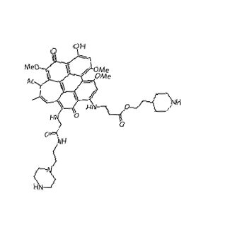 COc1c2c3c4c(c(NCC(=O)NCCN5CCNCC5)c(=O)c5c(NCCC(=O)OCCC6CCNCC6)cc(OC)c(c6c(OC)cc(O)c(c1=O)c63)c54)C=C(C)C2C(C)=O